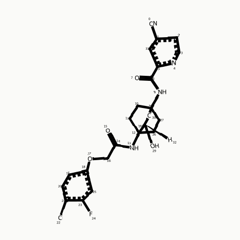 N#Cc1ccnc(C(=O)NC23CCC(NC(=O)COc4ccc(Cl)c(F)c4)(CC2)[C@@H](O)C3)c1